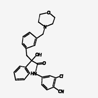 N#Cc1ccc(NC(=O)C(O)(Cc2cccc(CN3CCOCC3)c2)c2ccccc2)cc1Cl